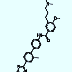 COc1ccc(C(=O)Nc2ccc(-c3ccc(-c4noc(C)n4)cc3C)cc2)cc1CCCN(C)C